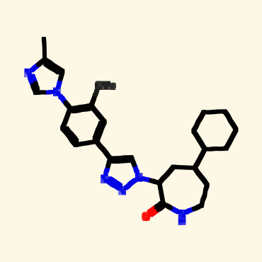 COc1cc(-c2cn(C3CC(C4CCCCC4)CCNC3=O)nn2)ccc1-n1cnc(C)c1